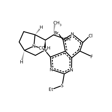 CCSc1nc(N2C[C@H]3CC[C@@H]([C@H]2[C@H](C)O)N3C(=O)O)c2c(Br)nc(Cl)c(F)c2n1